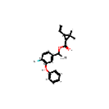 C=CC1C(C(=O)OC(C#N)c2ccc(F)c(Oc3ccccc3)c2)C1(C)C